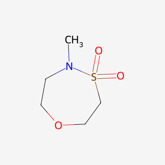 CN1CCOCCS1(=O)=O